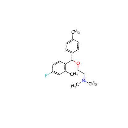 Cc1ccc(C(OCCN(C)C)c2ccc(F)cc2C)cc1